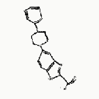 NC(=O)c1nc2cc(N3CCC(c4ccccc4)CC3)ccc2[nH]1